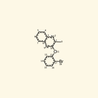 Cc1nc2ccccc2nc1Oc1ccccc1Br